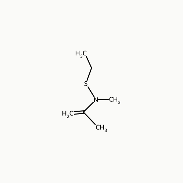 C=C(C)N(C)SCC